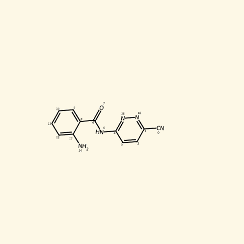 N#Cc1ccc(NC(=O)c2ccccc2N)nn1